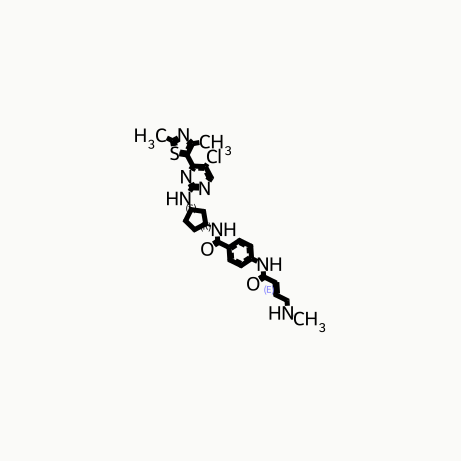 CNC/C=C/C(=O)Nc1ccc(C(=O)N[C@@H]2CC[C@H](Nc3ncc(Cl)c(-c4sc(C)nc4C)n3)C2)cc1